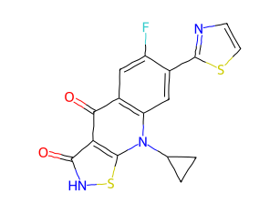 O=c1[nH]sc2c1c(=O)c1cc(F)c(-c3nccs3)cc1n2C1CC1